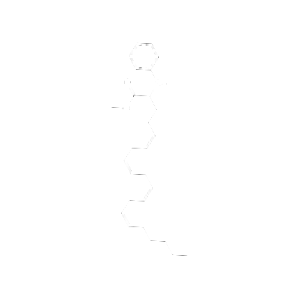 CCCCC/C=C\C/C=C\C/C=C\C/C=C\CCC([Se]c1ccccc1)C(=O)OC